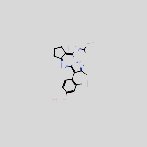 Bc1ccc(-c2c(C)nn3c(NC(CC)CC)c4c(nc23)CCC4)c(Cl)c1